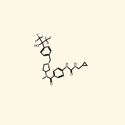 CN(C(=O)c1ccc(NC(=O)NCC2CC2)cc1)C1CCN(Cc2ccc(C(O)(C(F)(F)F)C(F)(F)F)cc2)C1